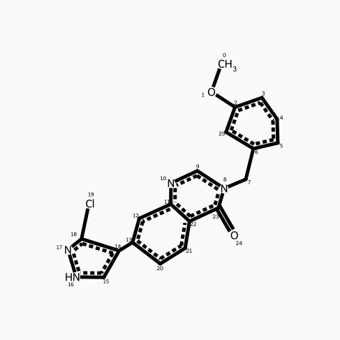 COc1cccc(Cn2cnc3cc(-c4c[nH]nc4Cl)ccc3c2=O)c1